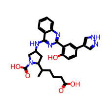 CC(CCCC(=O)O)C1CC(Nc2nc(-c3cc(-c4cn[nH]c4)ccc3O)nc3ccccc23)CN1C(=O)O